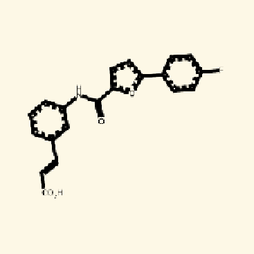 O=C(O)C=Cc1cccc(NC(=O)c2ccc(-c3ccc(F)cc3)o2)c1